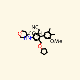 COc1cc(-c2c(CC#N)cc(NC3(C(=O)O)CCOCC3)cc2COC2CCCC2)cc(C)c1C